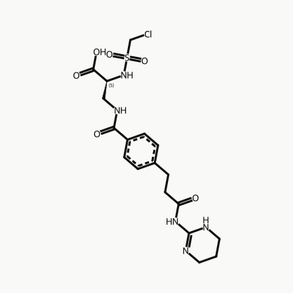 O=C(CCc1ccc(C(=O)NC[C@H](NS(=O)(=O)CCl)C(=O)O)cc1)NC1=NCCCN1